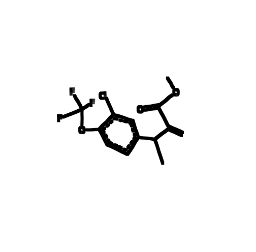 C=C(C(=O)OC)C(C)c1ccc(OC(F)(F)F)c(Cl)c1